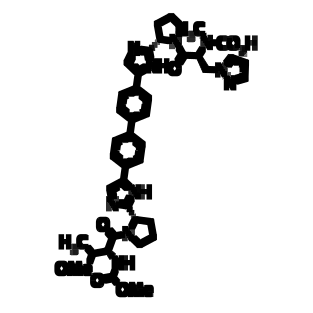 COC(=O)N[C@H](C(=O)N1CCC[C@H]1c1ncc(-c2ccc(-c3ccc(-c4cnc([C@@H]5CCCN5C(=O)[C@H](Cn5cccn5)N(C)C(=O)O)[nH]4)cc3)cc2)[nH]1)C(C)OC